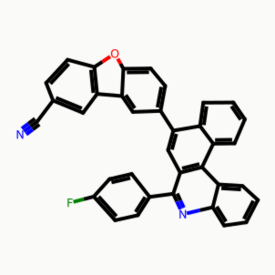 N#Cc1ccc2oc3ccc(-c4cc5c(-c6ccc(F)cc6)nc6ccccc6c5c5ccccc45)cc3c2c1